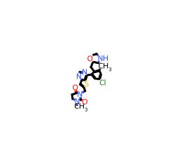 Cc1cc(Cl)cc(-c2ncnc3cc(CN4C(=O)CCN(C)C4=O)sc23)c1CC1CNCCO1